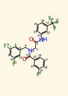 O=C(CN(Cc1cc(F)cc(F)c1)C(=O)c1cccc(F)c1)Nc1cccc(C(F)(F)F)c1